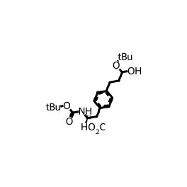 CC(C)(C)OC(=O)N[C@@H](Cc1ccc(CCC(O)OC(C)(C)C)cc1)C(=O)O